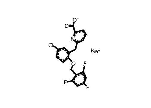 O=C([O-])c1cccc(Cc2cc(Cl)ccc2OCc2c(F)cc(F)cc2F)n1.[Na+]